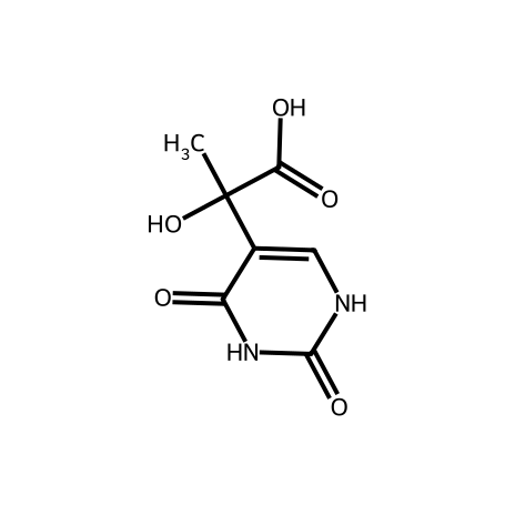 CC(O)(C(=O)O)c1c[nH]c(=O)[nH]c1=O